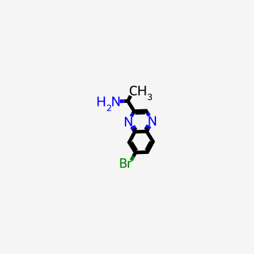 CC(N)c1cnc2ccc(Br)cc2n1